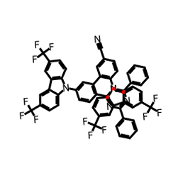 N#Cc1ccc(-n2c3ccc(C(F)(F)F)cc3c3cc(C(F)(F)F)ccc32)c(-c2cc(-n3c4ccc(C(F)(F)F)cc4c4cc(C(F)(F)F)ccc43)ccc2-c2nc(-c3ccccc3)nc(-c3ccccc3)n2)c1